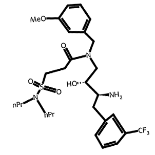 CCCN(CCC)S(=O)(=O)CCC(=O)N(Cc1cccc(OC)c1)C[C@@H](O)[C@@H](N)Cc1cccc(C(F)(F)F)c1